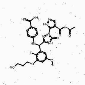 COc1cc(OCCCO)c(F)c(C(Nc2ccc(C(=N)N)cc2)c2nn(-c3[nH]ncc3C(=O)OC(C)=O)c(=O)[nH]2)c1